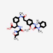 COc1cc(CC(=O)N(C)c2cccc(C(CC(=O)O)NC(=O)c3cc(C)on3)c2)ccc1NC(=O)N(C)c1ccccc1C